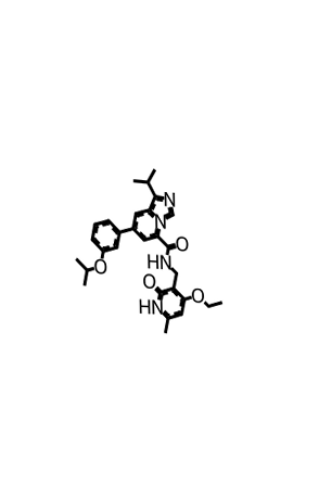 CCOc1cc(C)[nH]c(=O)c1CNC(=O)c1cc(-c2cccc(OC(C)C)c2)cc2c(C(C)C)ncn12